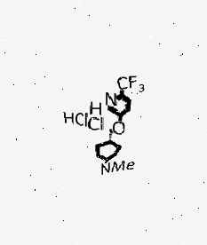 CN[C@H]1CC[C@H](COc2ccc(C(F)(F)F)nc2)CC1.Cl.Cl